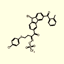 CCn1c2ccc(C(=O)/C(CCSc3ccc(Cl)cc3)=N/OS(=O)(=O)C(F)(F)F)cc2c2cc(C(=O)c3ccccc3C)ccc21